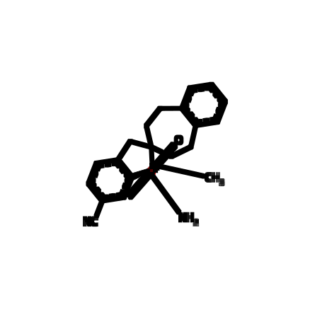 CN1C(=O)[C@]2(N=C1N)c1cc(C#N)ccc1CC21CCc2ccccc2CC1